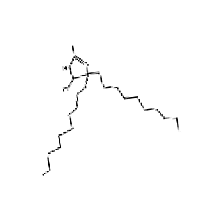 CCCCCCCCCCC1(CCCCCCCCCC)N=C(C)NC1Cl